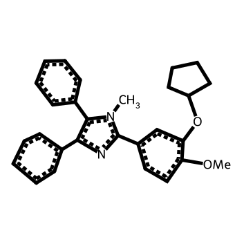 COc1ccc(-c2nc(-c3ccccc3)c(-c3ccccc3)n2C)cc1OC1CCCC1